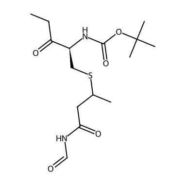 CCC(=O)[C@H](CSC(C)CC(=O)NC=O)NC(=O)OC(C)(C)C